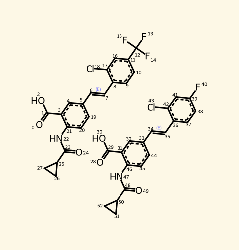 O=C(O)c1cc(/C=C/c2ccc(C(F)(F)F)cc2Cl)ccc1NC(=O)C1CC1.O=C(O)c1cc(/C=C/c2ccc(F)cc2Cl)ccc1NC(=O)C1CC1